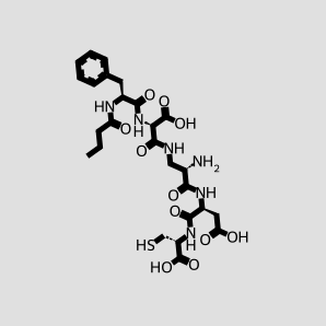 CCCC(=O)N[C@@H](Cc1ccccc1)C(=O)N[C@H](C(=O)O)C(=O)NC[C@H](N)C(=O)N[C@@H](CC(=O)O)C(=O)N[C@@H](CS)C(=O)O